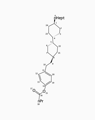 CCCCCCC[C@H]1CC[C@H]([C@H]2CC[C@H](CCc3ccc(OC(=O)CCC)cc3)CC2)CC1